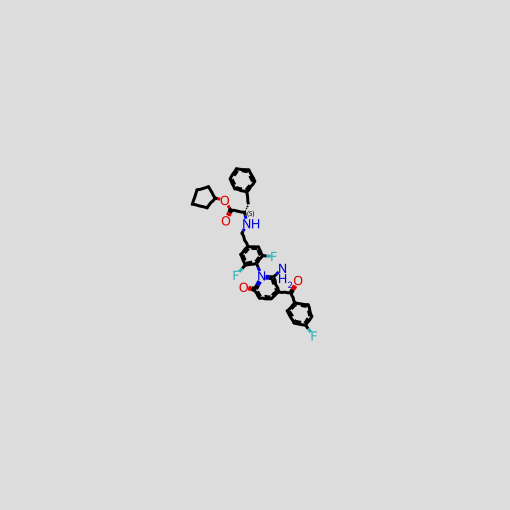 Nc1c(C(=O)c2ccc(F)cc2)ccc(=O)n1-c1c(F)cc(CN[C@@H](Cc2ccccc2)C(=O)OC2CCCC2)cc1F